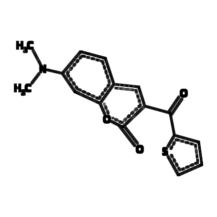 CN(C)c1ccc2cc(C(=O)c3cccs3)c(=O)oc2c1